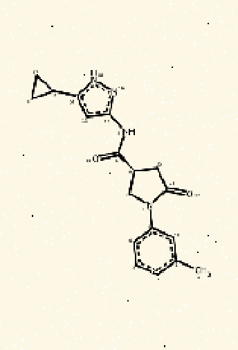 Cc1cccc(N2C[C@@H](C(=O)Nc3cc(C4CC4)[nH]n3)CC2=O)c1